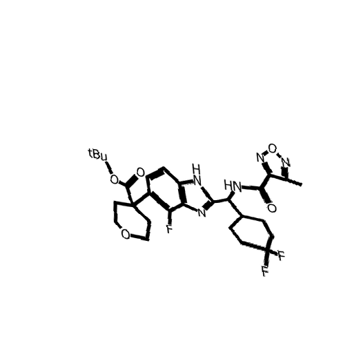 Cc1nonc1C(=O)NC(c1nc2c(F)c(C3(C(=O)OC(C)(C)C)CCOCC3)ccc2[nH]1)C1CCC(F)(F)CC1